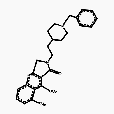 COc1c2c(nc3cccc(SC)c13)CN(CCC1CCN(Cc3ccccc3)CC1)C2=O